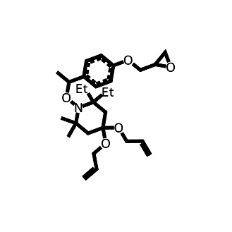 C=CCOC1(OCC=C)CC(C)(C)N(OC(C)c2ccc(OCC3CO3)cc2)C(CC)(CC)C1